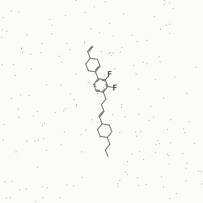 C=CC1CC=C(c2ccc(CCC=CC3CCC(CCC)CC3)c(F)c2F)CC1